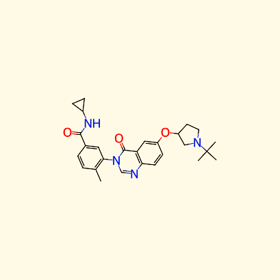 Cc1ccc(C(=O)NC2CC2)cc1-n1cnc2ccc(OC3CCN(C(C)(C)C)C3)cc2c1=O